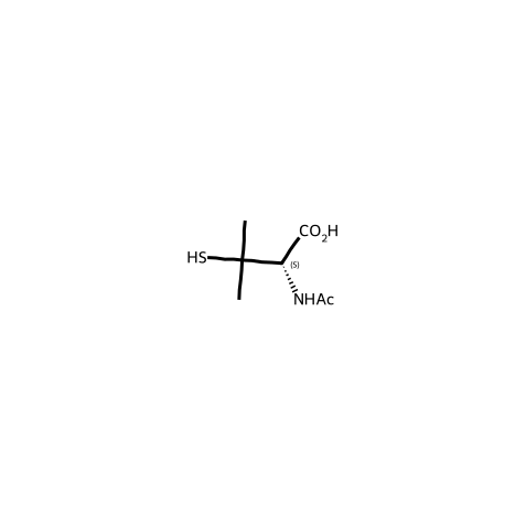 CC(=O)N[C@@H](C(=O)O)C(C)(C)S